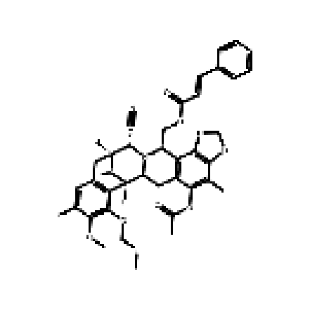 COCOc1c(OC)c(C)cc2c1[C@H]1C3Cc4c(OC(C)=O)c(C)c5c(c4[C@H](COC(=O)/C=C/c4ccccc4)N3[C@@H](C#N)[C@H](C2)N1C)OCO5